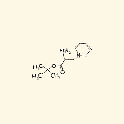 CC(C)(C)OC(=O)C(N)CN1C=CC=CC1